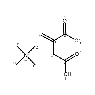 C=C(CC(=O)O)C(=O)[O-].C[N+](C)(C)C